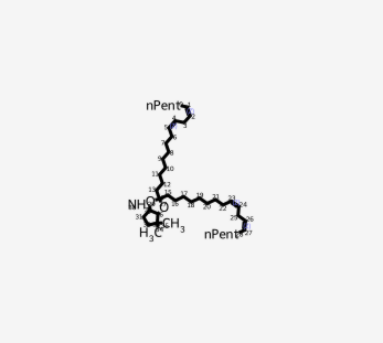 CCCCC/C=C\C/C=C\CCCCCCCCC1(CCCCCCCC/C=C\C/C=C\CCCCC)OC2CCC(C)(C)C2O1.N